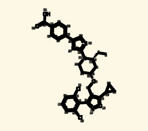 CC[C@@H]1C[C@H](OCc2c(-c3c(Cl)cccc3Cl)noc2C2CC2)CCN1c1nc(-c2ccc(C(=O)O)cc2)cs1